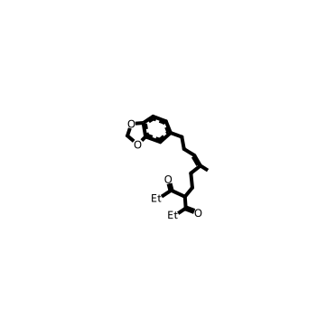 CCC(=O)C(CCC(C)=CCCc1ccc2c(c1)OCO2)C(=O)CC